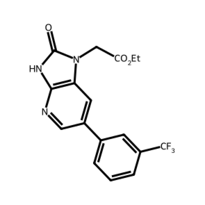 CCOC(=O)Cn1c(=O)[nH]c2ncc(-c3cccc(C(F)(F)F)c3)cc21